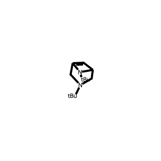 CC(C)(C)N1CC2=CC(C1)N2C(C)(C)C